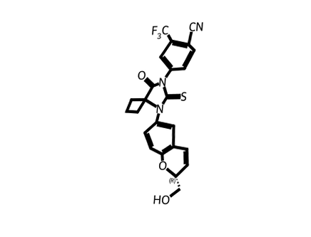 N#Cc1ccc(N2C(=O)C3(CCC3)N(c3ccc4c(c3)C=C[C@H](CO)O4)C2=S)cc1C(F)(F)F